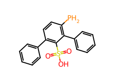 O=S(=O)(O)c1c(-c2ccccc2)ccc(P)c1-c1ccccc1